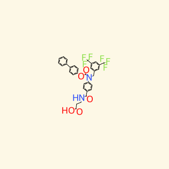 O=C(O)CCNC(=O)c1ccc(N(Cc2cc(C(F)(F)F)cc(C(F)(F)F)c2)C(=O)Oc2ccc(-c3ccccc3)cc2)cc1